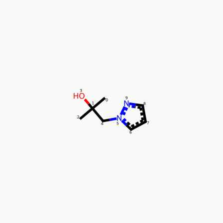 CC(C)(O)Cn1cccn1